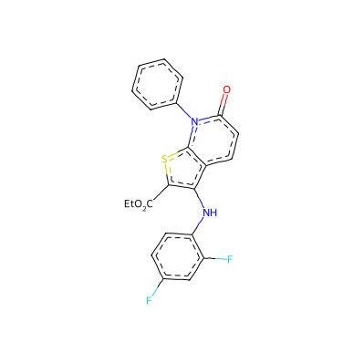 CCOC(=O)c1sc2c(ccc(=O)n2-c2ccccc2)c1Nc1ccc(F)cc1F